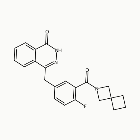 O=C(c1cc(Cc2n[nH]c(=O)c3ccccc23)ccc1F)N1CC2(CCC2)C1